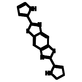 C1=C(c2nc3cc4sc(-c5ccc[nH]5)nc4cc3s2)NCC1